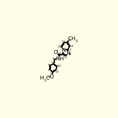 COc1ccc(CNC(=O)c2cnc3cc(C)ccn23)cc1